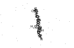 CCN1Cc2cc3c(cc2CC1C(=O)NC(Cc1ccc(-c2ccc(C#N)cc2)cc1)C(=O)O)OCC(c1ccc(OCc2ccc(Cl)c(Cl)c2)cc1)O3